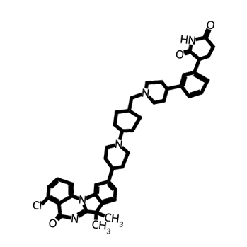 CC1(C)c2ccc(C3CCN(C4CCC(CN5CCC(c6cccc(C7CCC(=O)NC7=O)c6)CC5)CC4)CC3)cc2-n2c1nc(=O)c1c(Cl)cccc12